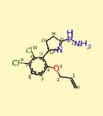 C=CCOc1ccc(Cl)c(Cl)c1C1CCC(NN)=N1